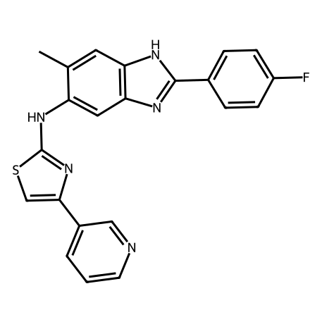 Cc1cc2[nH]c(-c3ccc(F)cc3)nc2cc1Nc1nc(-c2cccnc2)cs1